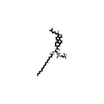 CCCCCCCCCCCCCCCC(=O)OC[C@H](COP(=O)([O-])OCC[N+](C)(C)C)OC(=O)C1CC[C@@]2(C)C(=CCC3C2CC[C@@]2(C)C3CC[C@@H]2[C@H](C)CCCC(C)C)C1